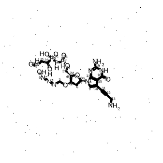 [N-]=[N+]=NCO[C@@H]1C[C@H](n2cc(C#CCN)c3c(=O)[nH]c(N)nc32)O[C@@H]1CO[PH](=O)PP(=O)(O)C(O)C[PH](=O)O